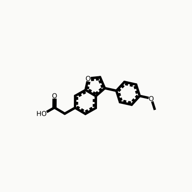 COc1ccc(-c2coc3cc(CC(=O)O)ccc23)cc1